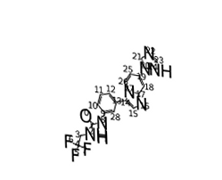 O=C(NCC(F)(F)F)Nc1cccc(-c2cnc3cc(N4CN=CN4)ccn23)c1